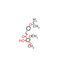 COc1cc(O)c(C(=O)C=Cc2ccc(OC(C)C)cc2)c(OC)c1